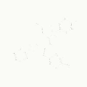 Cc1ccc(S(=O)(=O)NC(Cc2ccc([N+](=O)[O-])cc2)CN(CCN)S(=O)(=O)c2ccc(C)cc2)cc1